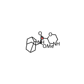 COC(=O)C12CC3CC(C1)C(NC(=O)C1CNCCO1)C(C3)C2